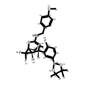 COC[C@@]12SC(NCc3ccc(OC)cc3)=N[C@](C)(c3cc(B4OC(C)(C)C(C)(C)O4)ccc3F)[C@@H]1C2(F)F